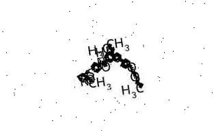 CCCCOCCOc1ccc(-c2ccc3c(c2)C=C(C(=O)Nc2ccc(SCc4cccnc4OC)cc2)CCN3CC(C)C)cc1